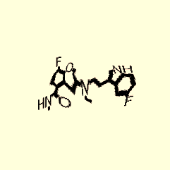 CCN(CCc1c[nH]c2ccc(F)cc12)C1COc2c(F)ccc(C(=O)NC)c2C1